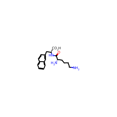 NCCCC[C@H](N)C(=O)N[C@@H](Cc1ccc2ccccc2c1)C(=O)O